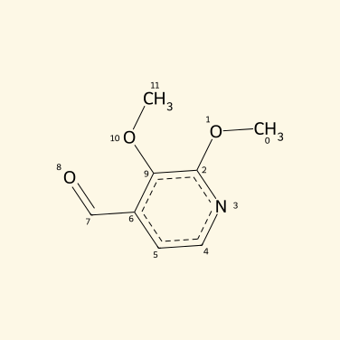 COc1nccc(C=O)c1OC